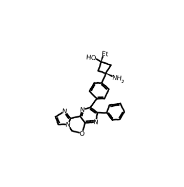 CC[C@]1(O)C[C@@](N)(c2ccc(-c3nc4c(nc3-c3ccccc3)OCn3ccnc3-4)cc2)C1